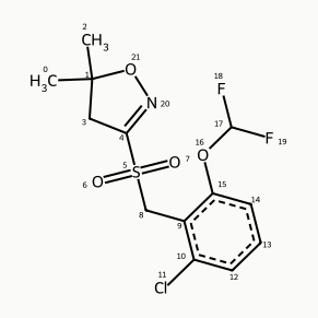 CC1(C)CC(S(=O)(=O)Cc2c(Cl)cccc2OC(F)F)=NO1